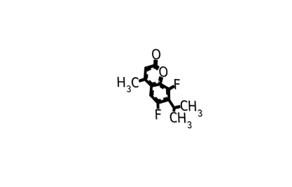 Cc1cc(=O)oc2c(F)c(C(C)C)c(F)cc12